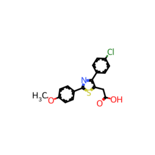 COc1ccc(-c2nc(-c3ccc(Cl)cc3)c(CC(=O)O)s2)cc1